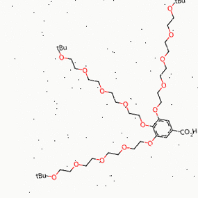 CC(C)(C)OCCOCCOCCOCCOc1cc(C(=O)O)cc(OCCOCCOCCOCCOC(C)(C)C)c1OCCOCCOCCOCCOC(C)(C)C